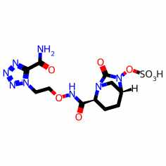 NC(=O)c1nnnn1CCONC(=O)[C@@H]1CC[C@@H]2CN1C(=O)N2OS(=O)(=O)O